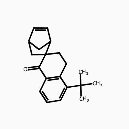 CC(C)(C)c1cccc2c1CCC1(CC3C=CC1C3)C2=O